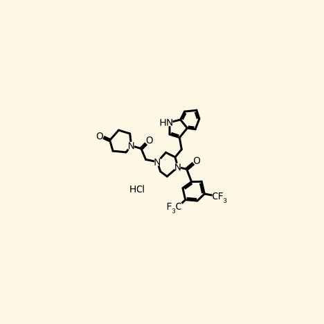 Cl.O=C1CCN(C(=O)CN2CCN(C(=O)c3cc(C(F)(F)F)cc(C(F)(F)F)c3)C(Cc3c[nH]c4ccccc34)C2)CC1